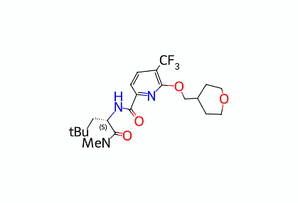 CNC(=O)[C@H](CC(C)(C)C)NC(=O)c1ccc(C(F)(F)F)c(OCC2CCOCC2)n1